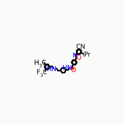 Cc1cc(CNCCC2CCC(CNC(=O)c3ccc(-c4nc5cc(C#N)cc(C(C)C)c5o4)cc3)CC2)cc(C(F)(F)F)c1